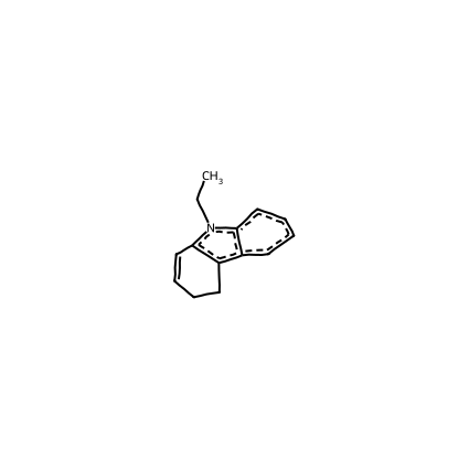 CCn1c2c(c3ccccc31)CCC=C2